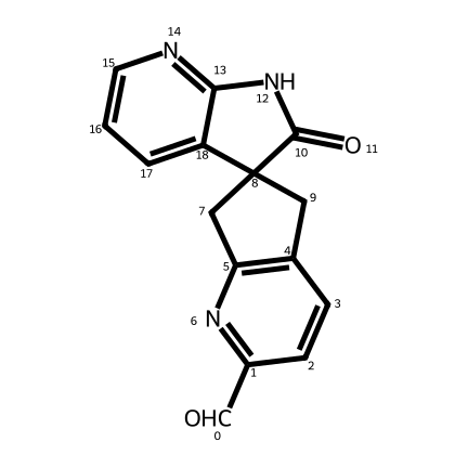 O=Cc1ccc2c(n1)CC1(C2)C(=O)Nc2ncccc21